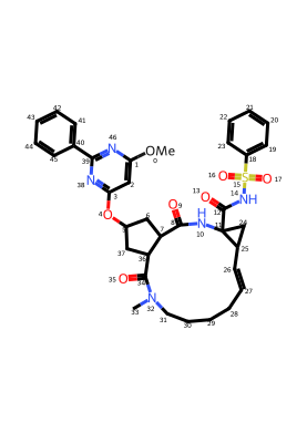 COc1cc(OC2CC3C(=O)NC4(C(=O)NS(=O)(=O)c5ccccc5)CC4/C=C/CCCCN(C)C(=O)C3C2)nc(-c2ccccc2)n1